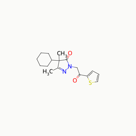 CC1=NN(CC(=O)c2cccs2)C(=O)C1(C)C1CCCCC1